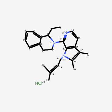 CCC1c2ccccc2CCN1c1nccc2c(C)c(C)n(CC=C(C)C)c12.Cl